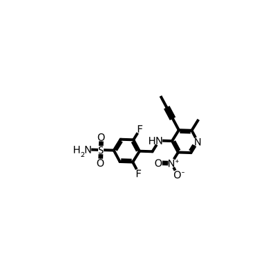 CC#Cc1c(C)ncc([N+](=O)[O-])c1NCc1c(F)cc(S(N)(=O)=O)cc1F